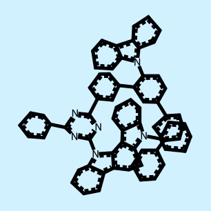 c1ccc(-c2cccc(-c3ccc(-n4c5ccccc5c5ccccc54)c(-c4cccc(-c5nc(-c6ccccc6)nc(-n6c7ccccc7c7ccc8c(c9ccccc9n8-c8ccccc8)c76)n5)c4)c3)c2)cc1